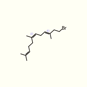 CC(C)=CCC/C(C)=C\C/C=C(\C)CCBr